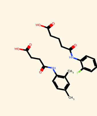 Cc1ccc(NC(=O)CCC(=O)O)c(C)c1.O=C(O)CCCC(=O)Nc1ccccc1F